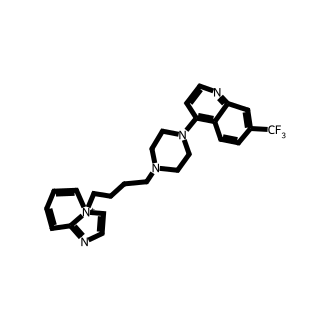 FC(F)(F)c1ccc2c(N3CCN(CCCC[N+]45C=CC=CC4=NC=C5)CC3)ccnc2c1